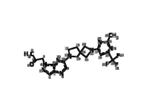 CC(=O)Cn1ncc2ncc(N3CCC4(CN(c5cc(C(F)(F)F)nc(C)n5)C4)C3)nc21